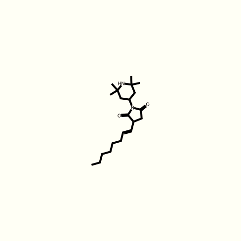 CCCCCCC=CC1CC(=O)N(C2CC(C)(C)NC(C)(C)C2)C1=O